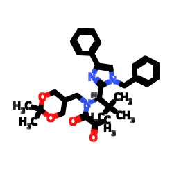 CC(=O)C(=O)N(CC1COC(C)(C)OC1)[C@@H](c1nc(-c2ccccc2)cn1Cc1ccccc1)C(C)(C)C